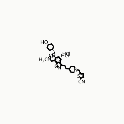 CN(C)Cc1c(OC[C@H]2CC[C@@H](O)CC2)ccc2c(CCC3CCN(Cc4ccc(C#N)s4)CC3)noc12.Cl.Cl